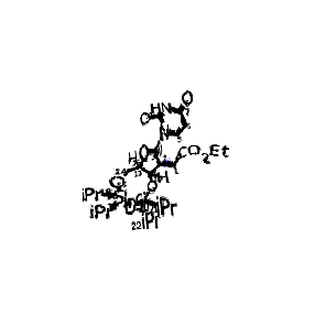 CCOC(=O)/C=C1\[C@H](n2ccc(=O)[nH]c2=O)O[C@@H]2CO[Si](C(C)C)(C(C)C)O[Si](C(C)C)(C(C)C)O[C@@H]12